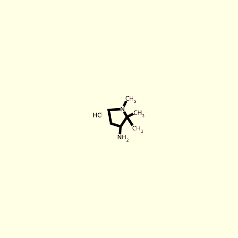 CN1CCC(N)C1(C)C.Cl